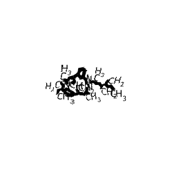 C=CC(=C\C=C/C)/C(C=C)=C/C=C(\C)c1nc2nc(n1)-c1cccc(c1)/C(C=C)=C/C(=C\C)n1c(C=C)c(/C=C\C)c3ccc(cc31)/C(C=C)=C/C2=C\C